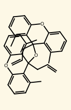 C=CCC1(OC2(CC=C)c3c(C)cccc3Oc3cccc(C)c32)c2c(C)cccc2Oc2cccc(C)c21